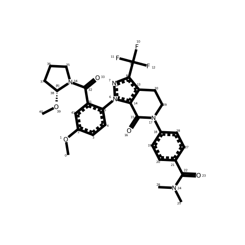 COc1ccc(-n2nc(C(F)(F)F)c3c2C(=O)N(c2ccc(C(=O)N(C)C)cc2)CC3)c(C(=O)N2CCC[C@H]2OC)c1